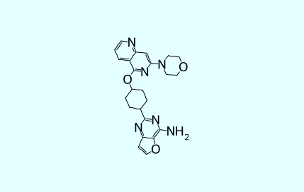 Nc1nc(C2CCC(Oc3nc(N4CCOCC4)cc4ncccc34)CC2)nc2ccoc12